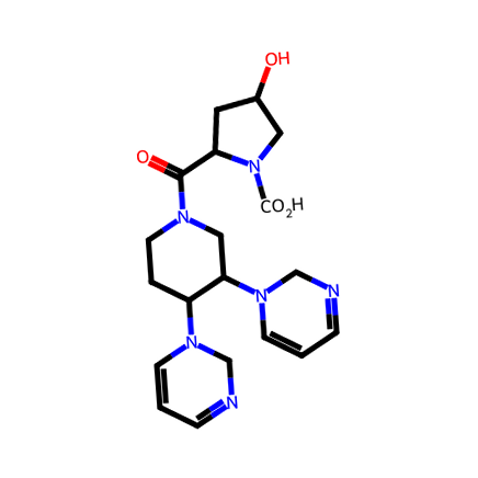 O=C(C1CC(O)CN1C(=O)O)N1CCC(N2C=CC=NC2)C(N2C=CC=NC2)C1